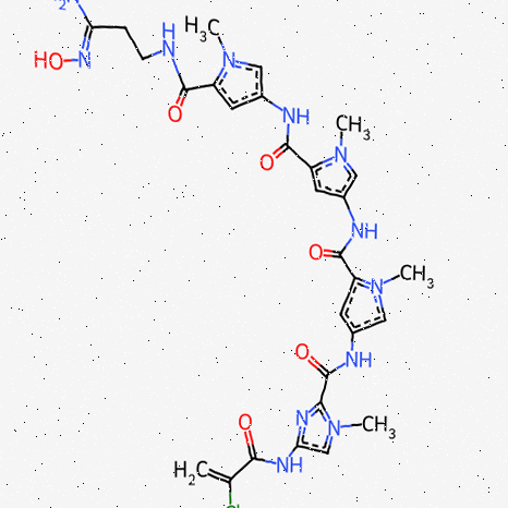 C=C(Cl)C(=O)Nc1cn(C)c(C(=O)Nc2cc(C(=O)Nc3cc(C(=O)Nc4cc(C(=O)NCCC(N)=NO)n(C)c4)n(C)c3)n(C)c2)n1